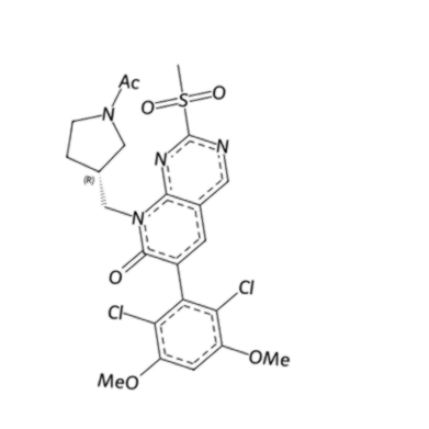 COc1cc(OC)c(Cl)c(-c2cc3cnc(S(C)(=O)=O)nc3n(C[C@@H]3CCN(C(C)=O)C3)c2=O)c1Cl